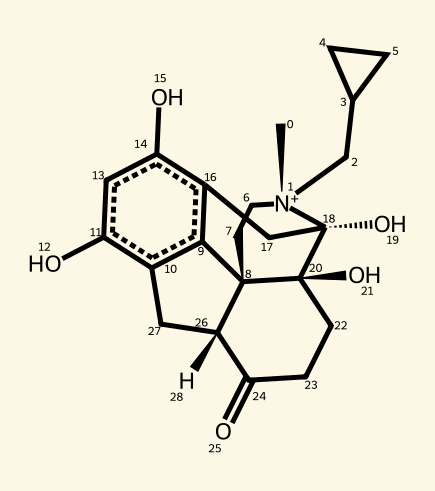 C[N@+]1(CC2CC2)CC[C@@]23c4c5c(O)cc(O)c4C[C@]1(O)[C@]2(O)CCC(=O)[C@@H]3C5